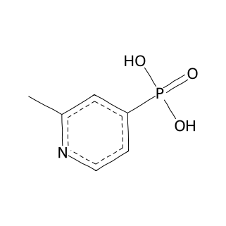 Cc1cc(P(=O)(O)O)ccn1